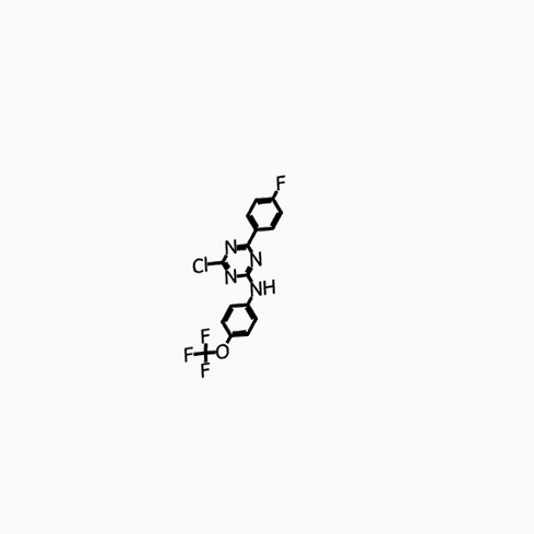 Fc1ccc(-c2nc(Cl)nc(Nc3ccc(OC(F)(F)F)cc3)n2)cc1